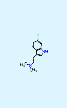 CN(C)CCc1c[nH]c2cc(F)ccc12